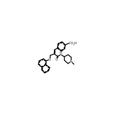 CN1CCC(NC(=O)C(=Cc2ccc(C(=O)O)cc2)COc2cccc3ccccc23)CC1